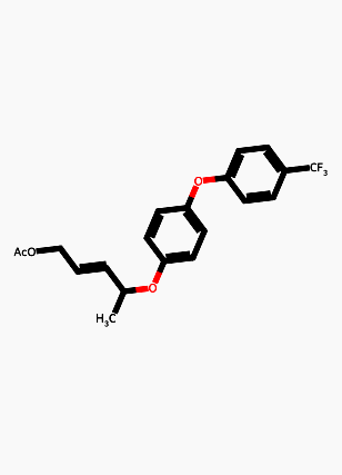 CC(=O)OCC=CC(C)Oc1ccc(Oc2ccc(C(F)(F)F)cc2)cc1